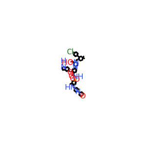 Cc1cc(S(=O)(=O)NC(=O)c2ccc(N3CCN(CC4=C(c5ccc(Cl)cc5)CC(C)(C)CC4)C(CO)C3)cc2Oc2ccc3[nH]ccc3c2)ccc1NC1CCN(C2CCOCC2)CC1